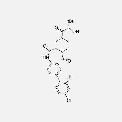 CC(C)(C)[C@H](O)C(=O)N1CCN2C(=O)c3cc(-c4ccc(Cl)cc4F)ccc3NC(=O)C2C1